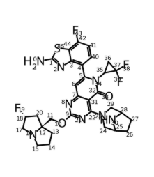 Nc1nc2c(-c3cc4nc(OC[C@@]56CCCN5C[C@H](F)C6)nc(N5CC6CCC(C5)N6)c4c(=O)n3C3CC3(F)F)ccc(F)c2s1